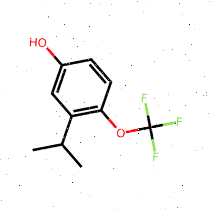 CC(C)c1cc(O)ccc1OC(F)(F)F